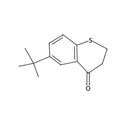 CC(C)(C)c1ccc2c(c1)C(=O)CCS2